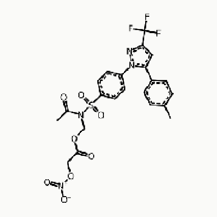 CC(=O)N(COC(=O)CO[N+](=O)[O-])S(=O)(=O)c1ccc(-n2nc(C(F)(F)F)cc2-c2ccc(C)cc2)cc1